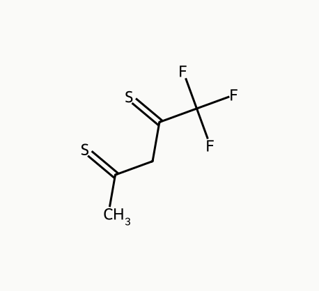 CC(=S)CC(=S)C(F)(F)F